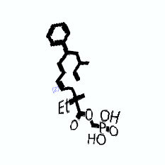 C=CC(C)CC(CC/C=C\CC(C)(CC)C(=O)OCP(=O)(O)O)c1ccccc1